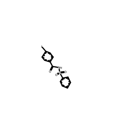 O=C(NS(=O)(=O)c1ccccc1)c1ccc(I)cc1